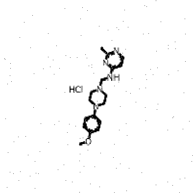 COc1ccc(N2CCN(CNc3ccnc(C)n3)CC2)cc1.Cl